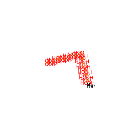 O=P(O)(O)O.O=P(O)(O)O.O=P(O)(O)O.O=P(O)(O)O.O=P(O)(O)O.O=P(O)(O)O.O=P(O)(O)O.O=P(O)(O)O.O=P(O)(O)O.O=P(O)(O)O.O=P(O)(O)O.O=P([O-])([O-])O.[Na+].[Na+]